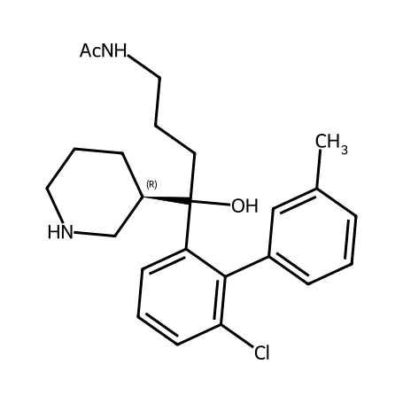 CC(=O)NCCCC(O)(c1cccc(Cl)c1-c1cccc(C)c1)[C@@H]1CCCNC1